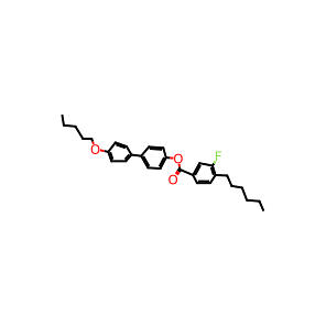 CCCCCCc1ccc(C(=O)Oc2ccc(-c3ccc(OCCCCC)cc3)cc2)cc1F